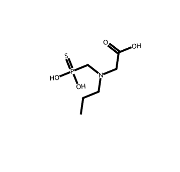 CCCN(CC(=O)O)CP(O)(O)=S